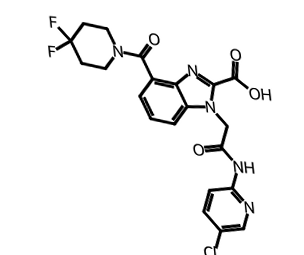 O=C(Cn1c(C(=O)O)nc2c(C(=O)N3CCC(F)(F)CC3)cccc21)Nc1ccc(Cl)cn1